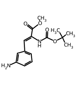 COC(=O)C(=Cc1cccc(N)c1)NC(=O)OC(C)(C)C